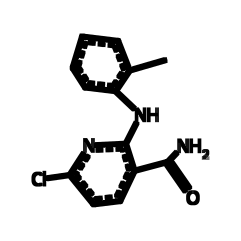 Cc1ccccc1Nc1nc(Cl)ccc1C(N)=O